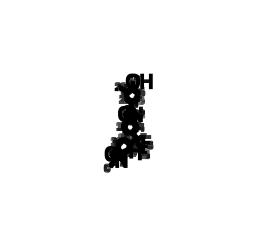 Cc1nc2cc(C(C)(c3ccc4oc(-c5ccc(O)c(C)c5)nc4c3)C(F)(F)F)ccc2o1